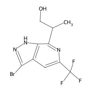 CC(CO)c1nc(C(F)(F)F)cc2c(Br)n[nH]c12